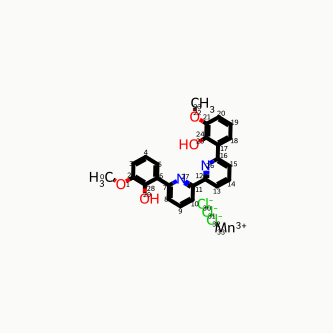 COc1cccc(-c2cccc(-c3cccc(-c4cccc(OC)c4O)n3)n2)c1O.[Cl-].[Cl-].[Cl-].[Mn+3]